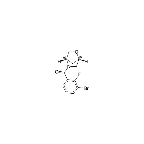 O=C(c1cccc(Br)c1F)N1C[C@@H]2C[C@H]1CO2